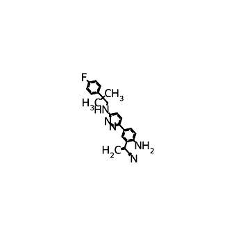 C=C(C#N)c1cc(-c2ccc(NCC(C)(C)c3ccc(F)cc3)nn2)ccc1N